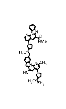 CNC(=O)c1cc2c(N3CC[C@H](N(C)Cc4ccc5nc6c(C#N)cc7c(N8CC[C@@H](N(C)C)C8)cc(C)nc7n6c5c4)C3)ccnc2n2c1nc1ccccc12